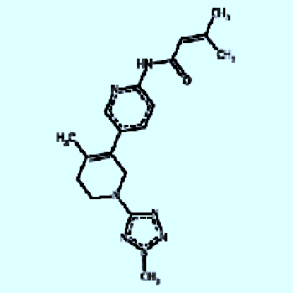 CC(C)=CC(=O)Nc1ccc(C2=C(C)CCN(c3nnn(C)n3)C2)cn1